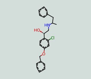 CC(Cc1ccccc1)NC[C@H](O)c1ccc(OCc2ccccc2)cc1Cl